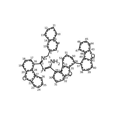 N/C(=N\C(=N/Cc1ccc2ccccc2c1)c1cccc2oc3ccccc3c12)c1cccc2oc3c(-c4cccc5oc6ccccc6c45)cccc3c12